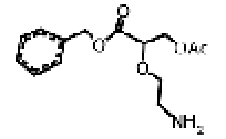 CC(=O)OCC(OCCN)C(=O)OCc1ccccc1